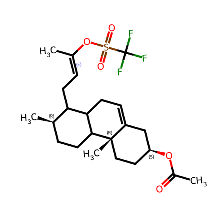 CC(=O)O[C@H]1CC[C@@]2(C)C(=CCC3C(C/C=C(\C)OS(=O)(=O)C(F)(F)F)[C@H](C)CCC32)C1